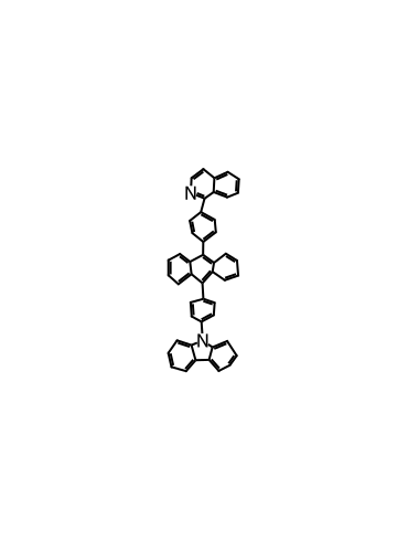 c1ccc2c(-c3ccc(-c4c5ccccc5c(-c5ccc(-n6c7ccccc7c7ccccc76)cc5)c5ccccc45)cc3)nccc2c1